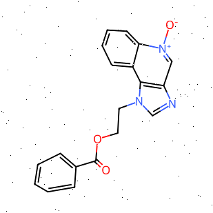 O=C(OCCn1cnc2c[n+]([O-])c3ccccc3c21)c1ccccc1